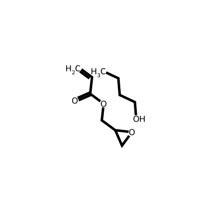 C=CC(=O)OCC1CO1.CCCCO